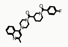 Cc1cc(N2CCN(C(=O)C3CCCN(C(=O)c4ccc(F)cc4)C3)CC2)c2ccccc2n1